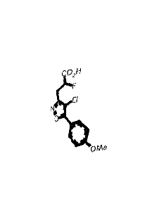 COc1ccc(-c2onc(CC(F)C(=O)O)c2Cl)cc1